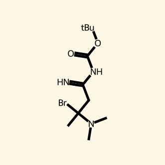 CN(C)C(C)(Br)CC(=N)NC(=O)OC(C)(C)C